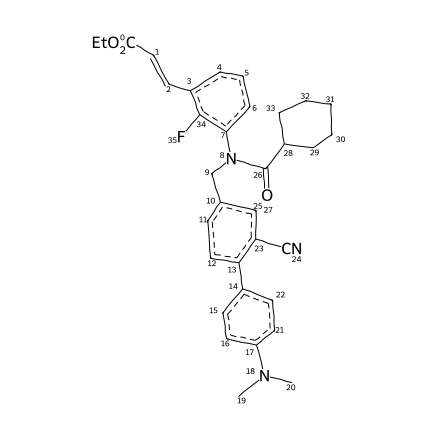 CCOC(=O)/C=C/c1cccc(N(Cc2ccc(-c3ccc(N(C)C)cc3)c(C#N)c2)C(=O)C2CCCCC2)c1F